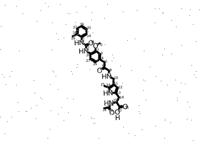 COc1cc(CC(=O)CNCc2cc(CC(NC(C)=O)C(=O)O)[nH]c2C)ccc1NC(=O)Nc1ccccc1C